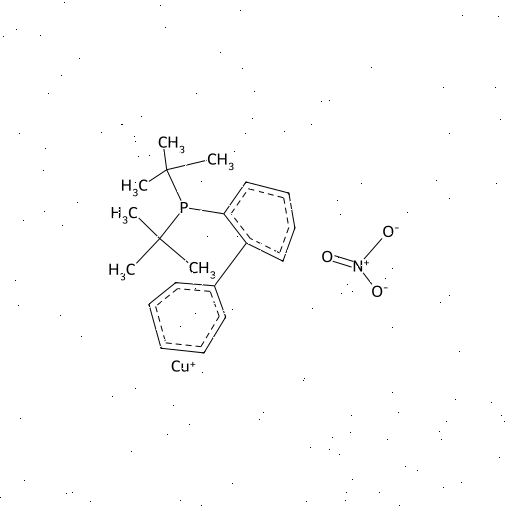 CC(C)(C)P(c1ccccc1-c1ccccc1)C(C)(C)C.O=[N+]([O-])[O-].[Cu+]